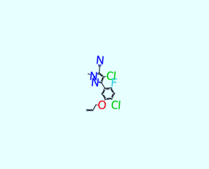 C=CCOc1cc(-c2nn(C)c(C#N)c2Cl)c(F)cc1Cl